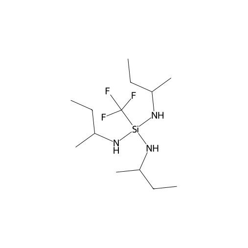 CCC(C)N[Si](NC(C)CC)(NC(C)CC)C(F)(F)F